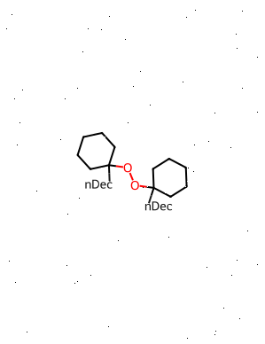 CCCCCCCCCCC1(OOC2(CCCCCCCCCC)CCCCC2)CCCCC1